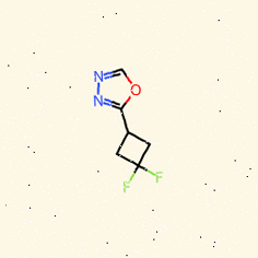 FC1(F)CC(c2nnco2)C1